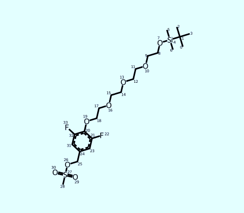 CC(C)(C)[Si](C)(C)OCCOCCOCCOCCOc1c(F)cc(COS(C)(=O)=O)cc1F